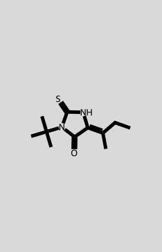 CCC(C)=C1NC(=S)N(C(C)(C)C)C1=O